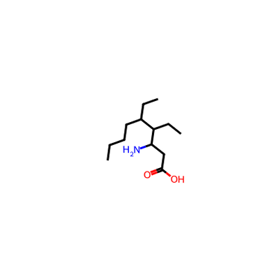 CCCCC(CC)C(CC)C(N)CC(=O)O